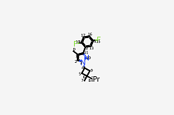 Cc1cn(C2CC(C)(C(C)C)C2)nc1-c1cc(F)ccc1F